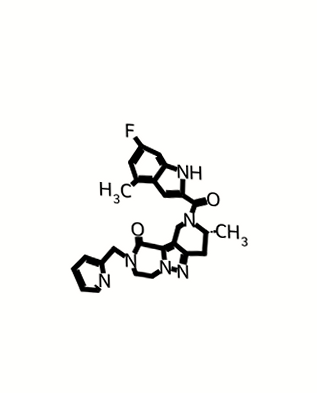 Cc1cc(F)cc2[nH]c(C(=O)N3Cc4c(nn5c4C(=O)N(Cc4ccccn4)CC5)C[C@H]3C)cc12